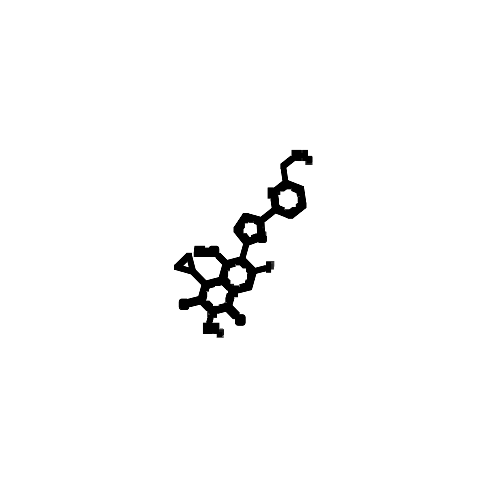 COc1c(-c2ccc(-c3cccc(CN)n3)s2)c(F)cn2c(=O)n(N)c(=O)c(C3CC3)c12